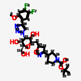 COc1cc(F)c(F)cc1-c1cn([C@H]2[C@@H](O)[C@@H](CO)O[C@H](CC3CC(C4CCN(C(=O)OC(C)(C)C)CC4)=NO3)[C@@H]2O)nn1